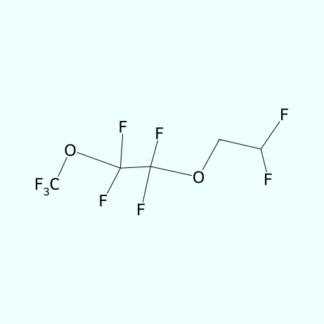 FC(F)COC(F)(F)C(F)(F)OC(F)(F)F